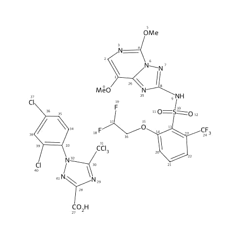 COc1cnc(OC)n2nc(NS(=O)(=O)c3c(OCC(F)F)cccc3C(F)(F)F)nc12.O=C(O)c1nc(C(Cl)(Cl)Cl)n(-c2ccc(Cl)cc2Cl)n1